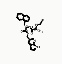 CC(C)CN[C@@H](C)C(=O)N[C@@H](Cc1cccc2ccccc12)C(=O)NCc1cnc2[nH]ccc2c1